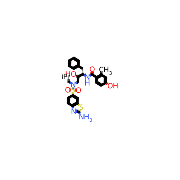 Cc1cc(O)ccc1C(=O)N[C@@H](Cc1ccccc1)[C@H](O)CN(CC(C)C)S(=O)(=O)c1ccc2nc(N)sc2c1